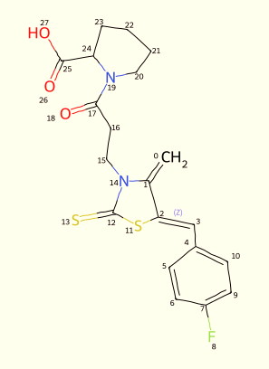 C=c1/c(=C/c2ccc(F)cc2)sc(=S)n1CCC(=O)N1CCCCC1C(=O)O